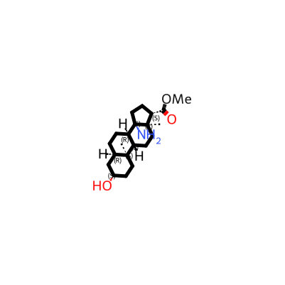 COC(=O)[C@H]1CC[C@]2(N)[C@@H]3CC[C@@H]4C[C@@H](O)CC[C@]4(C)[C@H]3CC[C@]12C